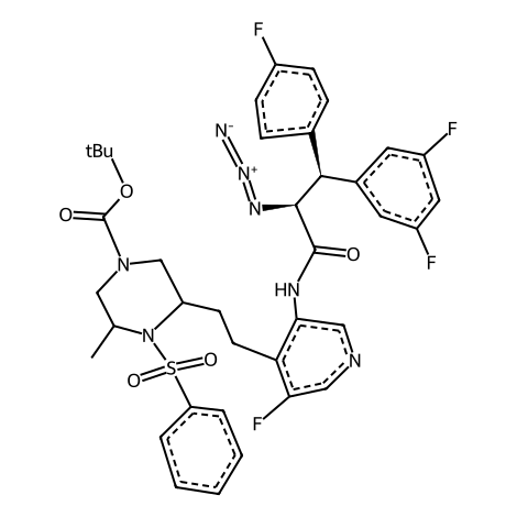 CC1CN(C(=O)OC(C)(C)C)CC(CCc2c(F)cncc2NC(=O)[C@@H](N=[N+]=[N-])[C@@H](c2ccc(F)cc2)c2cc(F)cc(F)c2)N1S(=O)(=O)c1ccccc1